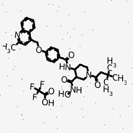 Cc1cc(COc2ccc(C(=O)NC3CCN(C(=O)CC(C)(C)C)CC3C(=O)NO)cc2)c2ccccc2n1.O=C(O)C(F)(F)F